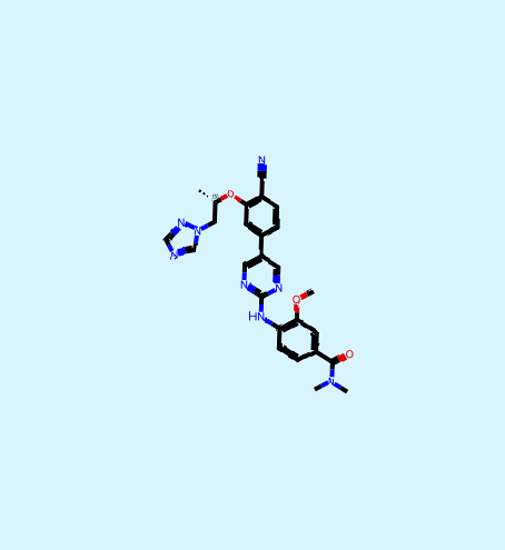 COc1cc(C(=O)N(C)C)ccc1Nc1ncc(-c2ccc(C#N)c(O[C@@H](C)Cn3cncn3)c2)cn1